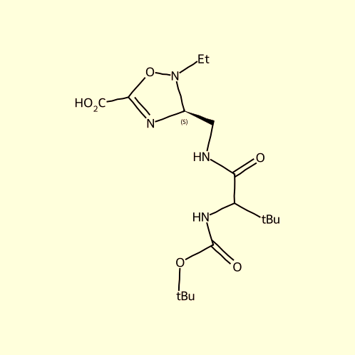 CCN1OC(C(=O)O)=N[C@@H]1CNC(=O)C(NC(=O)OC(C)(C)C)C(C)(C)C